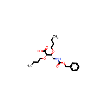 CCCCO[C@H](C(=O)O)[C@@H](CNC(=O)OCc1ccccc1)OCCCC